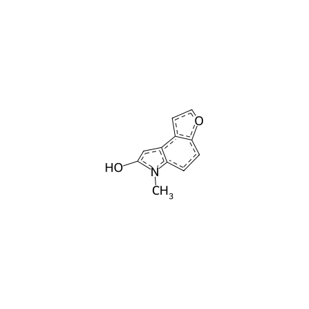 Cn1c(O)cc2c3ccoc3ccc21